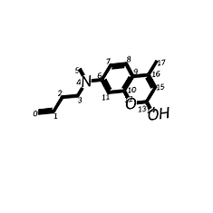 C=CCCN(C)c1ccc2c(c1)OC(O)C=C2C